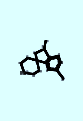 Cc1ccc2c(c1)C1(CCNCC1)CN2C